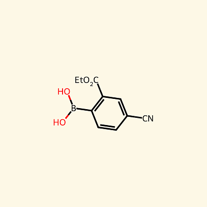 CCOC(=O)c1cc(C#N)ccc1B(O)O